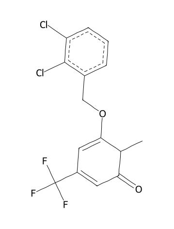 CC1C(=O)C=C(C(F)(F)F)C=C1OCc1cccc(Cl)c1Cl